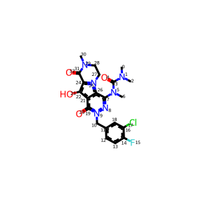 CN(C)C(=O)N(C)c1nn(Cc2ccc(F)c(Cl)c2)c(=O)c2c(O)c3n(c12)CCN(C)C3=O